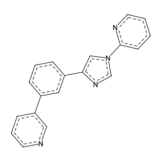 c1ccc(-n2cnc(-c3cccc(-c4cccnc4)c3)c2)nc1